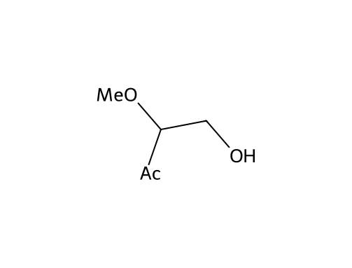 COC(CO)C(C)=O